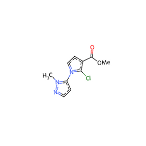 COC(=O)c1ccn(-c2ccnn2C)c1Cl